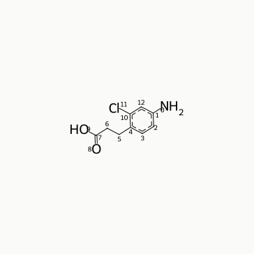 Nc1ccc(CCC(=O)O)c(Cl)c1